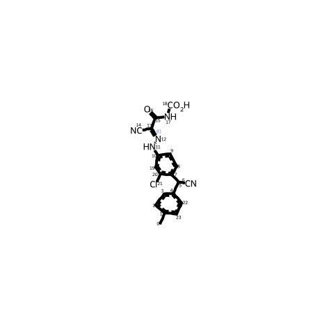 Cc1ccc(C(C#N)c2ccc(N/N=C(\C#N)C(=O)NC(=O)O)cc2Cl)cc1